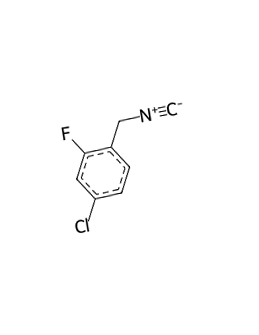 [C-]#[N+]Cc1ccc(Cl)cc1F